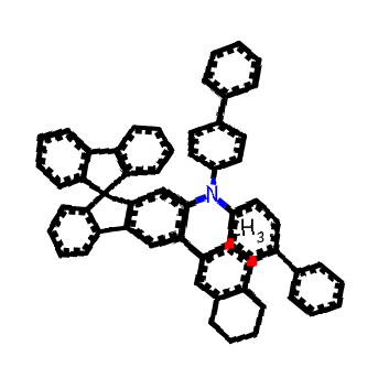 Cc1cc2c(cc1-c1cc3c(cc1N(c1ccc(-c4ccccc4)cc1)c1ccc(-c4ccccc4)cc1)C1(c4ccccc4-c4ccccc41)c1ccccc1-3)CCCC2